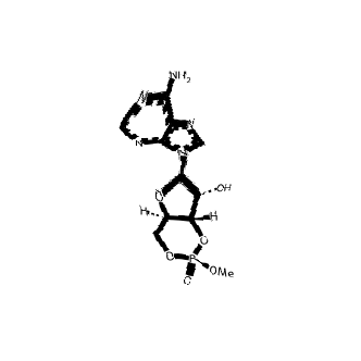 CO[P@@]1(=O)OC[C@H]2O[C@@H](n3cnc4c(N)ncnc43)[C@H](O)[C@@H]2O1